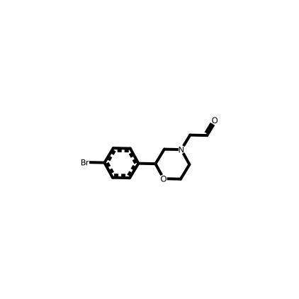 O=CCN1CCOC(c2ccc(Br)cc2)C1